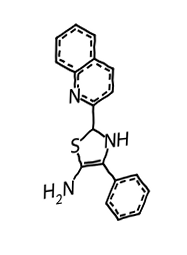 NC1=C(c2ccccc2)NC(c2ccc3ccccc3n2)S1